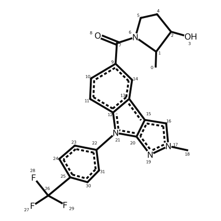 CC1C(O)CCN1C(=O)c1ccc2c(c1)c1cn(C)nc1n2-c1ccc(C(F)(F)F)cc1